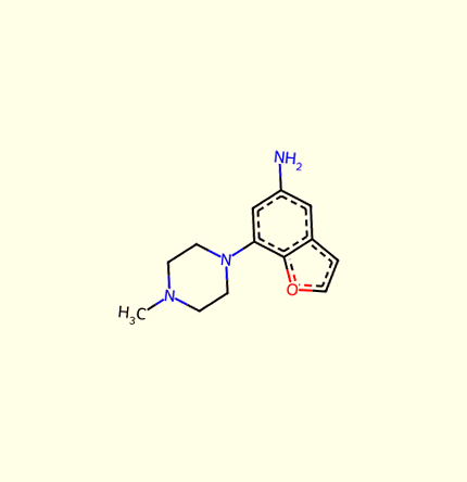 CN1CCN(c2cc(N)cc3ccoc23)CC1